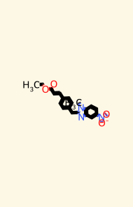 CCOC(=O)/C=C/c1ccc(Cc2nc3cc([N+](=O)[O-])ccc3n2C)cc1